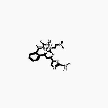 CCNC(=O)N[C@H](C)c1ccccc1-c1cc(-c2cnc(NC(C)C)s2)nc(NCCN(C)C)n1